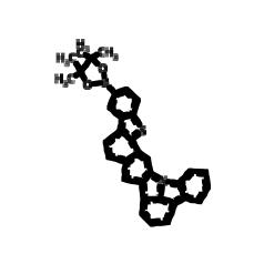 CC1(C)OB(c2ccc3sc4c5cc6c(cc5ccc4c3c2)c2cccc3c4ccccc4n6c32)OC1(C)C